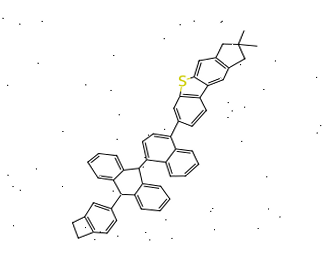 CC1(C)Cc2cc3sc4cc(-c5ccc(C6c7ccccc7C(c7ccc8c(c7)CC8)c7ccccc76)c6ccccc56)ccc4c3cc2C1